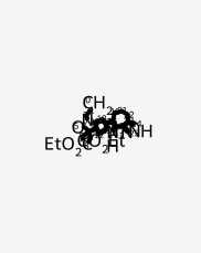 C=CCN1C(=O)C(CC(=O)OCC)(CC(=O)OCC)c2cc3[nH]c4c(c3cc21)CCCc1c[nH]nc1-4